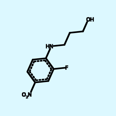 O=[N+]([O-])c1ccc(NCCCO)c(F)c1